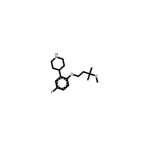 COC(C)(C)CCOc1ccc(F)cc1C1CCNCC1